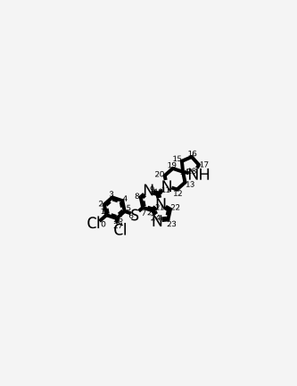 Clc1cccc(Sc2cnc(N3CCC4(CCCN4)CC3)n3ccnc23)c1Cl